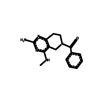 CNc1nc(N)nc2c1CN(C(=O)c1ccccc1)CC2